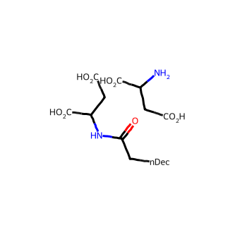 CCCCCCCCCCCC(=O)NC(CC(=O)O)C(=O)O.NC(CC(=O)O)C(=O)O